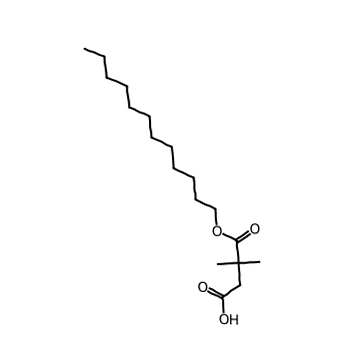 CCCCCCCCCCCCOC(=O)C(C)(C)CC(=O)O